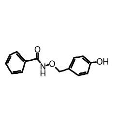 O=C(NOCc1ccc(O)cc1)c1ccccc1